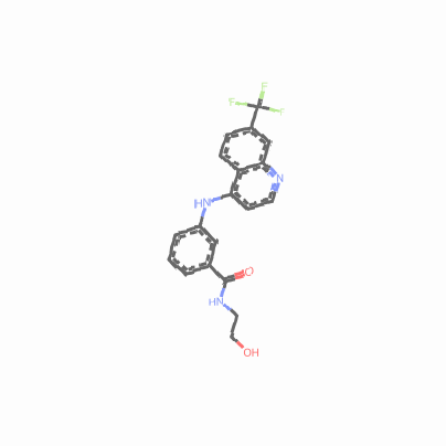 O=C(NCCO)c1cccc(Nc2ccnc3cc(C(F)(F)F)ccc23)c1